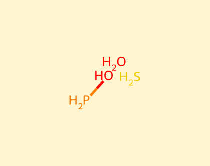 O.OP.S